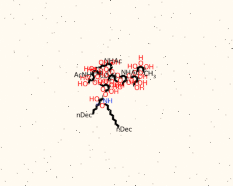 CCCCCCCCCCCCC/C=C/[C@@H](O)[C@H](CO[C@@H]1OC(CO)[C@@H](O[C@@H]2OC(CO)[C@H](O[C@@H]3OC(CO)[C@H](O)[C@H](O[C@@H]4OC(CO)[C@H](O)[C@H](O)C4O[C@H]4OC(C)[C@@H](O)C(O)[C@@H]4O)C3NC(C)=O)[C@H](O[C@]3(C(=O)O)CC(O)[C@@H](NC(C)=O)C([C@H](O)[C@@H](CO)O[C@]4(C(=O)O)CC(O)[C@@H](NC(C)=O)C([C@H](O)[C@H](O)CO)O4)O3)C2O)[C@H](O)C1O)NC(=O)CCCCCCCCCCCCCCCCCCC